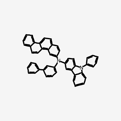 c1ccc(-c2cccc(N(c3ccc4ccc5c6ccccc6ccc5c4c3)c3ccc4c(c3)c3ccccc3n4-c3ccccc3)c2)cc1